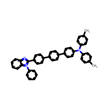 Cc1ccc(N(c2ccc(C)cc2)c2ccc(-c3ccc(-c4ccc(-c5nc6ccccc6n5-c5ccccc5)cc4)cc3)cc2)cc1